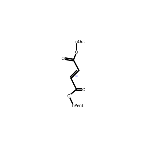 CCCCCCCCOC(=O)/C=C/C(=O)OCCCCC